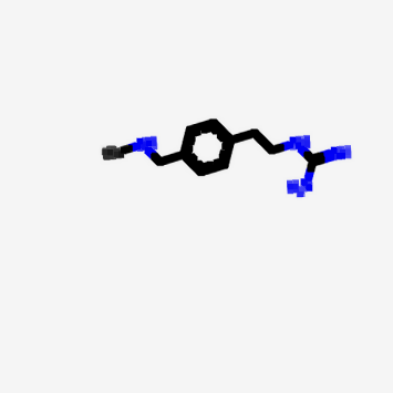 CC(C)(C)NCc1ccc(CCNC(=N)N)cc1